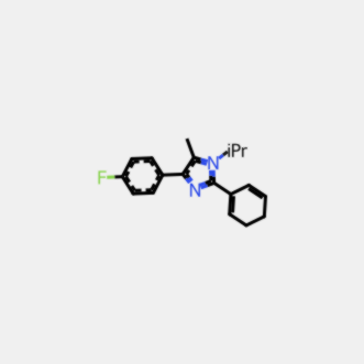 Cc1c(-c2ccc(F)cc2)nc(C2=CCCC=C2)n1C(C)C